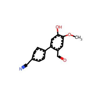 COc1cc(C=O)c(-c2ccc(C#N)cc2)cc1O